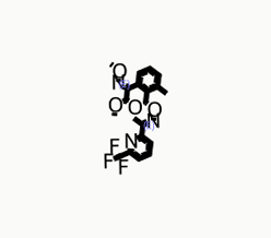 CO/N=C(/C(=O)OC)c1cccc(C)c1CO/N=C(\C)c1cccc(C(F)(F)F)n1